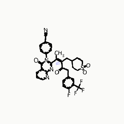 C/C(=C(\CC1CCS(=O)(=O)CC1)C(=O)Cc1ccc(F)c(C(F)(F)F)c1)c1nc2ncccc2c(=O)n1-c1ccc(C#N)cc1